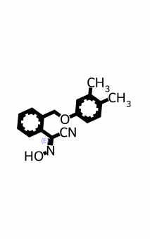 Cc1ccc(OCc2ccccc2/C(C#N)=N\O)cc1C